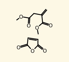 C=C(CC(=O)OC)C(=O)OC.O=C1C=CC(=O)O1